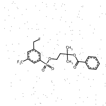 CC(C)(CCOS(=O)(=O)c1cc(CF)cc(C(F)(F)F)c1)OC(=O)c1ccccc1